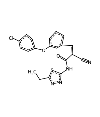 CCc1nnc(NC(=O)C(C#N)=Cc2cccc(Oc3ccc(Cl)cc3)c2)s1